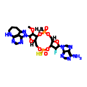 BP1(=O)OC[C@H]2O[C@@H](n3cnc4c(N)ncnc43)C(F)C2OP(=O)(S)OC[C@H]2O[C@@H](n3nc4c5c(ncnc53)NCCC4)C(OC)C2O1